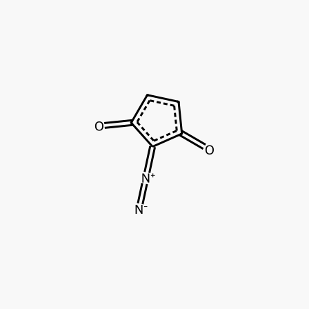 [N-]=[N+]=c1c(=O)ccc1=O